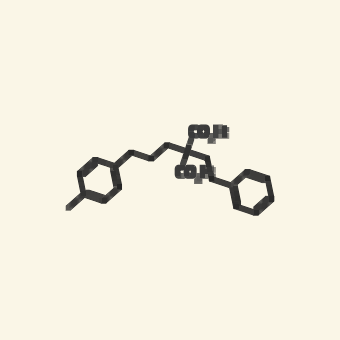 CCOC(=O)C(CCCc1ccc(C)cc1)(CCc1ccccc1)C(=O)OCC